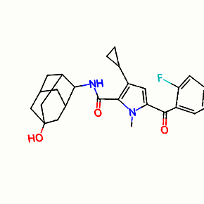 Cn1c(C(=O)c2ccccc2F)cc(C2CC2)c1C(=O)NC1C2CC3CC1CC(O)(C3)C2